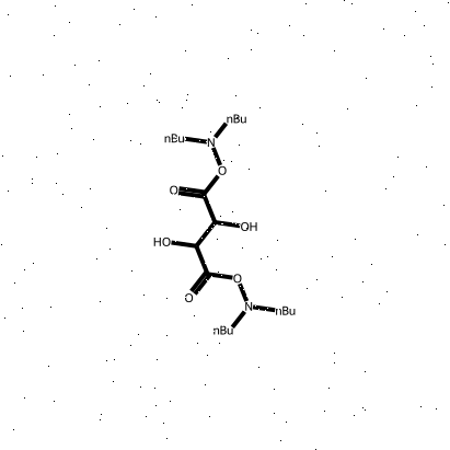 CCCCN(CCCC)OC(=O)C(O)C(O)C(=O)ON(CCCC)CCCC